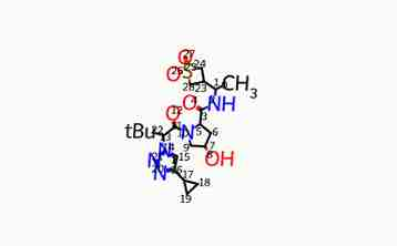 CC(NC(=O)C1CC(O)CN1C(=O)[C@@H](n1cc(C2CC2)nn1)C(C)(C)C)C1CS(=O)(=O)C1